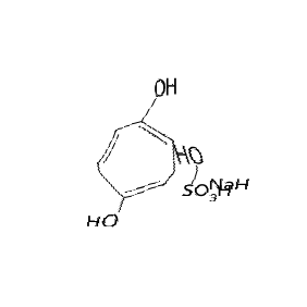 O=S(=O)(O)O.Oc1ccc(O)cc1.[NaH]